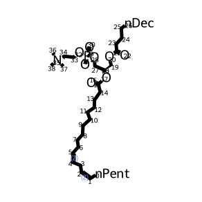 CCCCC/C=C\C/C=C\CCCCCCCCCC(=O)O[C@H](COC(=O)CCCCCCCCCCCCC)COP(=O)([O-])OCC[N+](C)(C)C